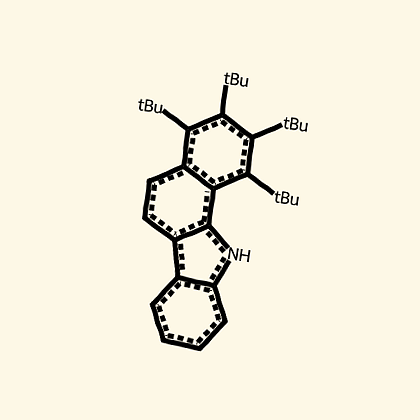 CC(C)(C)c1c(C(C)(C)C)c(C(C)(C)C)c2c(ccc3c4ccccc4[nH]c32)c1C(C)(C)C